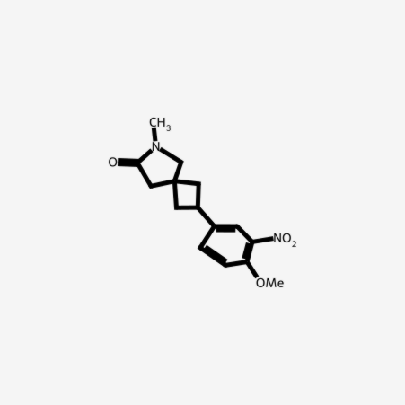 COc1ccc(C2CC3(CC(=O)N(C)C3)C2)cc1[N+](=O)[O-]